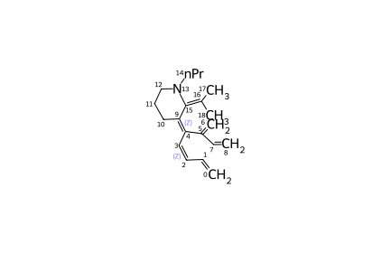 C=C/C=C\C(C(=C)C=C)=C1/CCCN(CCC)C1=C(C)C